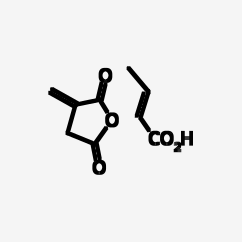 C=C1CC(=O)OC1=O.CC=CC(=O)O